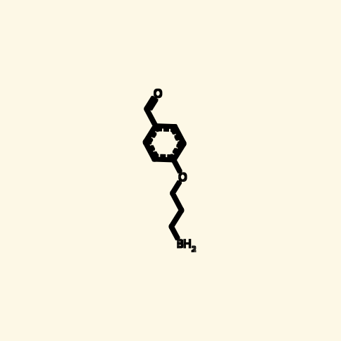 BCCCOc1ccc(C=O)cc1